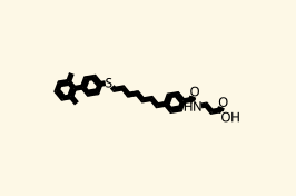 Cc1cccc(C)c1-c1ccc(SCCCCCCCc2ccc(C(=O)NCCC(=O)O)cc2)cc1